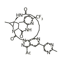 CC(=O)c1nn2c3c(nc(-c4cnc(C)nc4)cc13)CCCCCCC(=O)NC[C@@]13C[C@@H](C(=O)Nc4nc(C(F)(F)F)ccc4C)N(C(=O)C2)C1C3C